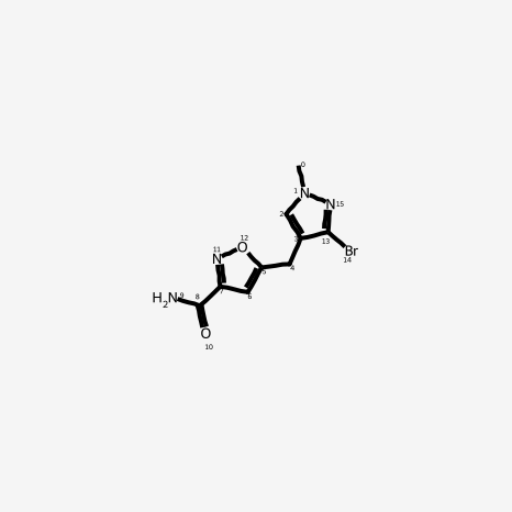 Cn1cc(Cc2cc(C(N)=O)no2)c(Br)n1